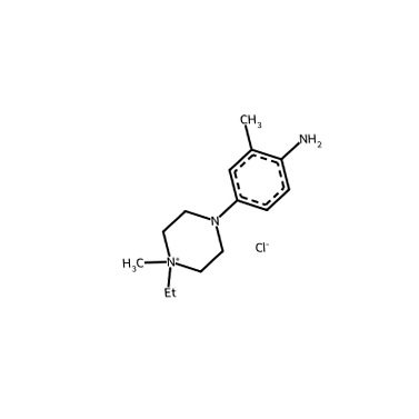 CC[N+]1(C)CCN(c2ccc(N)c(C)c2)CC1.[Cl-]